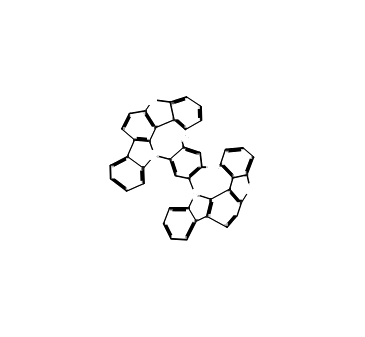 N#Cc1cc(C#N)c(-n2c3ccccc3c3ccc4sc5ccccc5c4c32)cc1-n1c2ccccc2c2ccc3sc4ccccc4c3c21